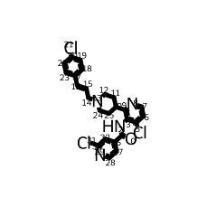 O=C(Nc1c(Cl)ccnc1C1CCN(CC=Cc2ccc(Cl)cc2)CC1)c1ccnc(Cl)c1